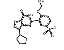 CCOc1ccc(S(=O)(=O)Cl)cc1-c1nn2c(C3CCCC3)nnc2c(=O)[nH]1